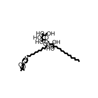 CCCCCCCCCCCCCC[C@@H](O)[C@@H](O)[C@H](COC1OC(CO)C(O)C(O)C1O)NC(=O)CCCCCCCCCCN1CCN(C(=O)OC(C)(C)C)CC1